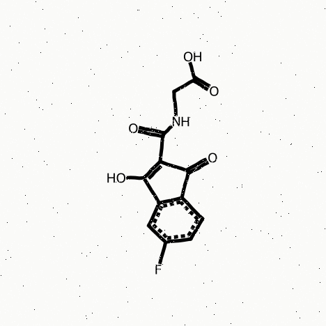 O=C(O)CNC(=O)C1=C(O)c2cc(F)ccc2C1=O